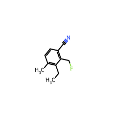 CCc1c(C)ccc(C#N)c1CF